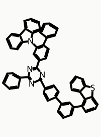 c1ccc(-c2nc(-c3ccc(-c4cccc(-c5cccc6sc7ccccc7c56)c4)cc3)nc(-c3ccc(-c4ccccc4)c(-n4c5ccccc5c5ccccc54)c3)n2)cc1